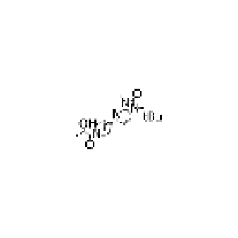 C[C@@H](O)C(=O)N1CC2CCC1C=C2c1ccc2c(n1)n(C)c(=O)n2CC(C)(C)C